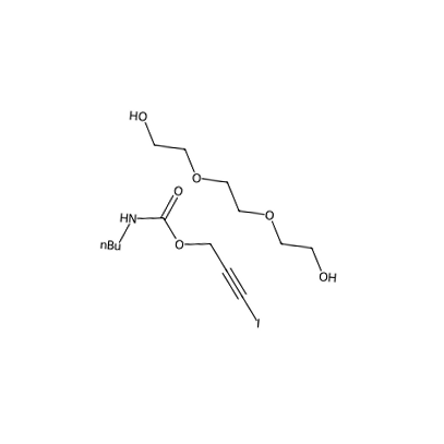 CCCCNC(=O)OCC#CI.OCCOCCOCCO